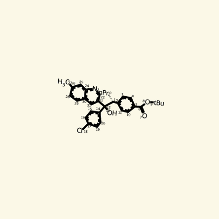 CCC[C@H](c1ccc(C(=O)OC(C)(C)C)cc1)C(O)(c1ccc(Cl)cc1)c1cnc2cc(C)ccc2c1